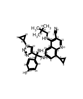 BC(Nc1cc(C2CC2)c2ncc(C#N)c(NCC(C)(C)C)c2c1)(c1ccc(F)cc1)c1cn(C2CC2)nn1